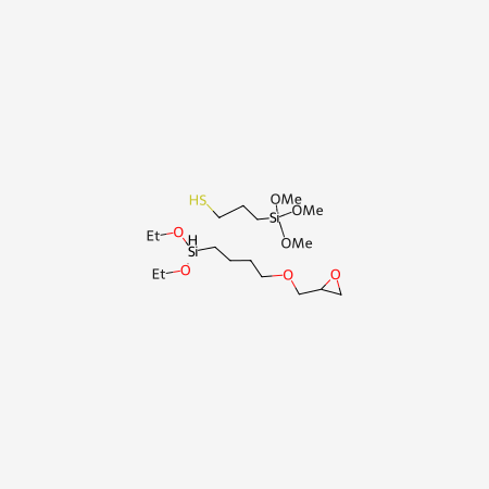 CCO[SiH](CCCCOCC1CO1)OCC.CO[Si](CCCS)(OC)OC